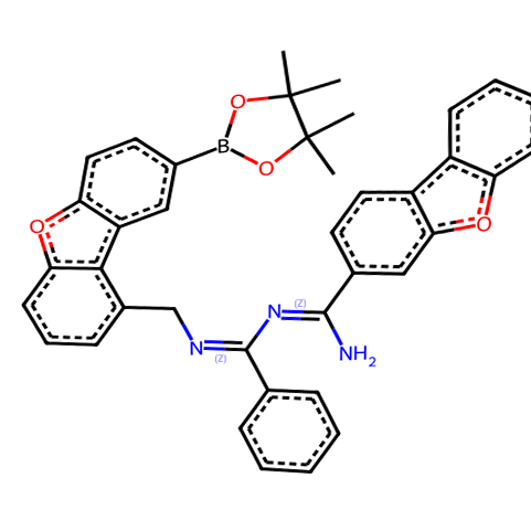 CC1(C)OB(c2ccc3oc4cccc(C/N=C(\N=C(/N)c5ccc6c(c5)oc5ccccc56)c5ccccc5)c4c3c2)OC1(C)C